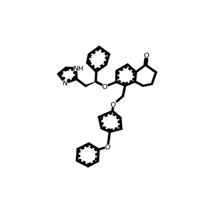 O=C1CCCc2c1ccc(O[C@@H](Cc1ncc[nH]1)c1ccccc1)c2COc1ccc(Oc2ccccc2)cc1